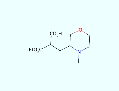 CCOC(=O)C(CC1COCCN1C)C(=O)O